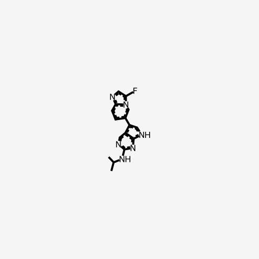 CC(C)Nc1ncc2c(-c3ccc4ncc(F)n4c3)c[nH]c2n1